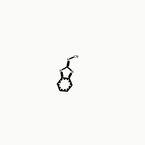 N#CN=C1N=c2ccccc2=N1